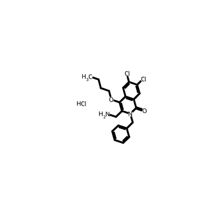 CCCCOc1c(CN)n(Cc2ccccc2)c(=O)c2cc(Cl)c(Cl)cc12.Cl